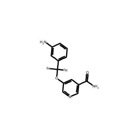 [2H]C([2H])(Oc1cncc(C(N)=O)c1)c1cccc(N)c1